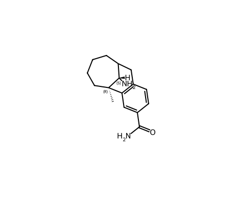 C[C@@]12CCCCC(Cc3ccc(C(N)=O)cc31)[C@@H]2N